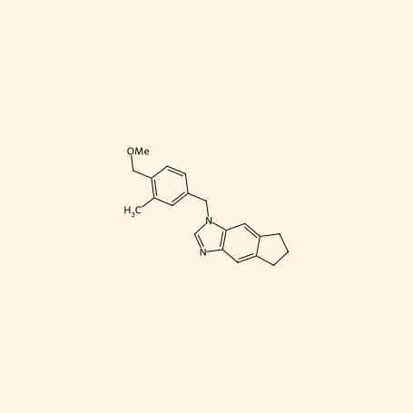 COCc1ccc(Cn2cnc3cc4c(cc32)CCC4)cc1C